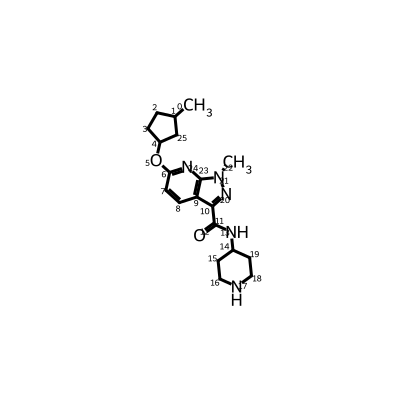 CC1CCC(Oc2ccc3c(C(=O)NC4CCNCC4)nn(C)c3n2)C1